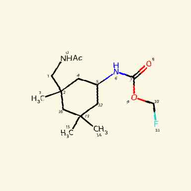 CC(=O)NCC1(C)CC(NC(=O)OCF)CC(C)(C)C1